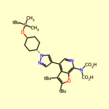 CC(C)(C)c1oc2c(N(C(=O)O)C(=O)O)ncc(-c3cnn([C@H]4CC[C@H](O[Si](C)(C)C(C)(C)C)CC4)c3)c2c1C(C)(C)C